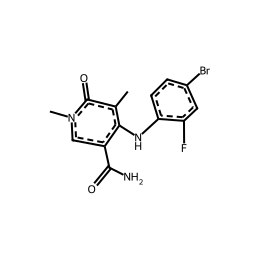 Cc1c(Nc2ccc(Br)cc2F)c(C(N)=O)cn(C)c1=O